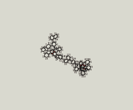 c1ccc(C2(c3ccccc3)c3ccccc3-c3ccc(N(c4ccc(-c5cccc6ccccc56)cc4)c4ccccc4-c4cccc5sc6cc(-c7cccc8c(-c9ccc(N(c%10ccc%11c(c%10)C%10(c%12ccccc%12-c%12ccccc%12%10)c%10ccccc%10-%11)c%10ccccc%10-c%10cccc%11sc%12ccccc%12c%10%11)cc9)cccc78)ccc6c45)cc32)cc1